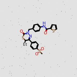 CCC1SC(=O)N(Cc2ccc(NC(=O)c3cccs3)cc2)N=C1c1ccc(S(C)(=O)=O)cc1